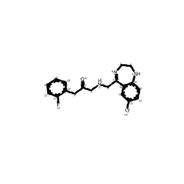 O=C(CNCC1=NCCNc2ccc(Cl)cc21)Cc1ccccc1F